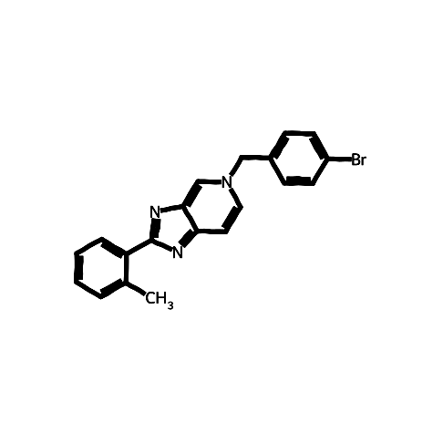 Cc1ccccc1-c1nc2ccn(Cc3ccc(Br)cc3)cc-2n1